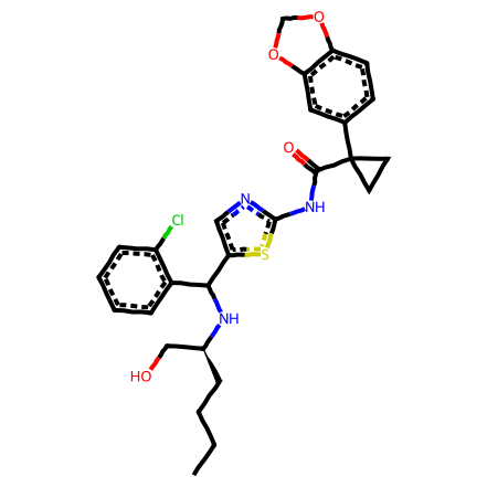 CCCC[C@@H](CO)NC(c1cnc(NC(=O)C2(c3ccc4c(c3)OCO4)CC2)s1)c1ccccc1Cl